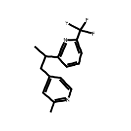 Cc1cc(CC(C)c2cccc(C(F)(F)F)n2)ccn1